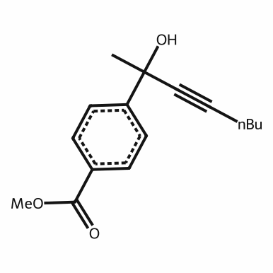 CCCCC#CC(C)(O)c1ccc(C(=O)OC)cc1